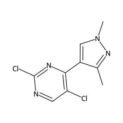 Cc1nn(C)cc1-c1nc(Cl)ncc1Cl